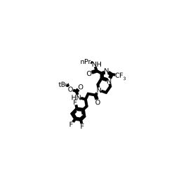 CCCNC(=O)c1nc(C(F)(F)F)n2c1CN(C(=O)CC(Cc1cc(F)c(F)cc1F)NC(=O)OC(C)(C)C)CC2